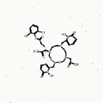 O=C(O)CN1CCN(Cc2cccc(=O)n2O)CCN([C@@H](CCC(=O)Oc2c(Cl)cccc2Cl)C(=O)O)CCN(Cc2cccc(=O)n2O)CC1